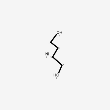 OCCCCO.[Ni]